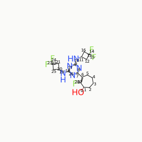 OC1CCCCC(c2nc(NC3CC(F)(F)C3)nc(NC3CC(F)(F)C3)n2)=C1F